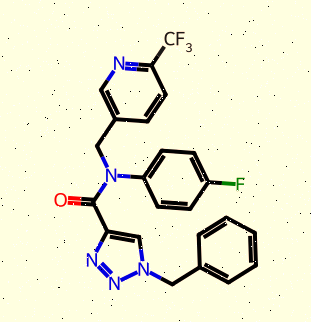 O=C(c1cn(Cc2ccccc2)nn1)N(Cc1ccc(C(F)(F)F)nc1)c1ccc(F)cc1